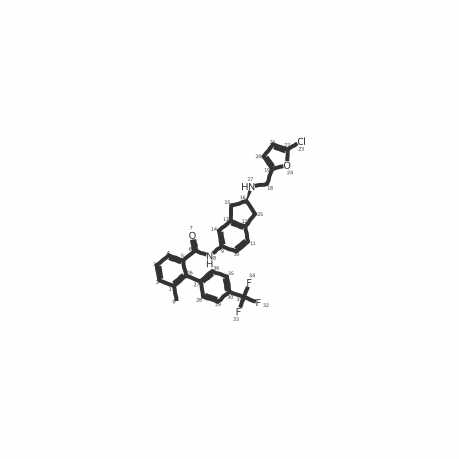 Cc1cccc(C(=O)Nc2ccc3c(c2)C[C@@H](NCc2ccc(Cl)o2)C3)c1-c1ccc(C(F)(F)F)cc1